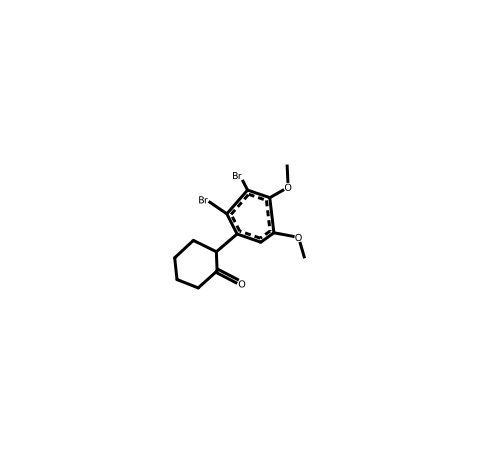 COc1cc(C2CCCCC2=O)c(Br)c(Br)c1OC